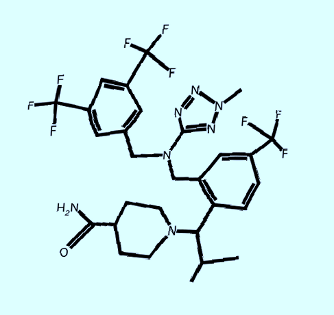 CC(C)C(c1ccc(C(F)(F)F)cc1CN(Cc1cc(C(F)(F)F)cc(C(F)(F)F)c1)c1nnn(C)n1)N1CCC(C(N)=O)CC1